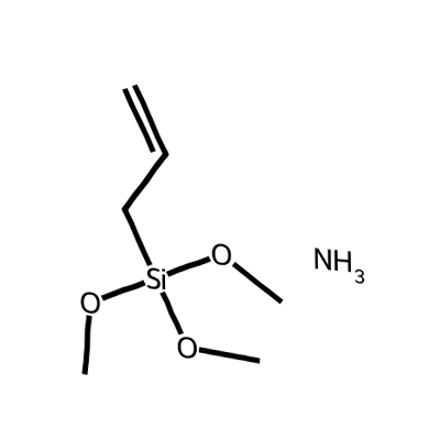 C=CC[Si](OC)(OC)OC.N